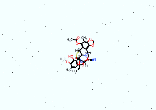 C=CCN1[C@@H]2c3c(cc(C)c(OC)c3O)C[C@H]1[C@H](C#N)N1C2[C@@H]2SCC(=O)C(=O)OC[C@H]1c1c3c(c(C)c(OC(C)=O)c12)OCO3